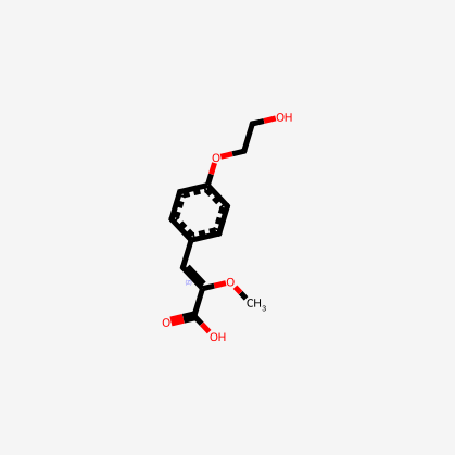 CO/C(=C\c1ccc(OCCO)cc1)C(=O)O